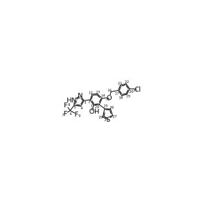 Oc1c(-c2cc(C(F)(F)F)[nH]n2)ccc(OCc2ccc(Cl)cc2)c1-c1ccsc1